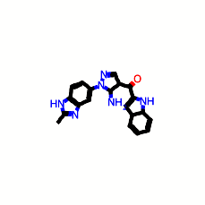 Cc1nc2cc(N3N=CC(C(=O)C4=CC5C=CC=CC5N4)C3N)ccc2[nH]1